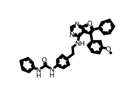 COc1cccc(-c2c(-c3ccccc3)oc3ncnc(NCCc4ccc(NC(=O)Nc5ccccc5)cc4)c23)c1